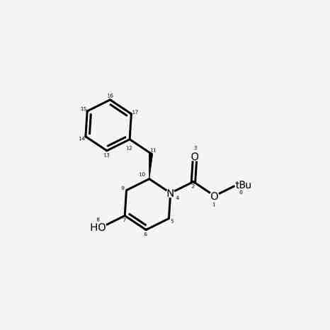 CC(C)(C)OC(=O)N1CC=C(O)C[C@H]1Cc1ccccc1